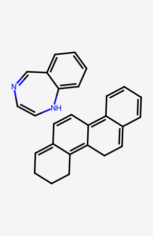 C1=CNc2ccccc2C=N1.C1=c2ccc3c(c2CCC1)CC=c1ccccc1=3